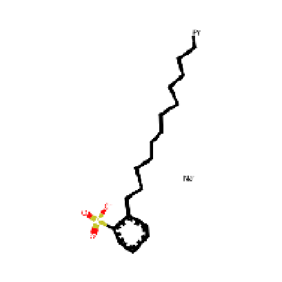 CC(C)CCCCCCCCCCCCc1ccccc1S(=O)(=O)[O-].[Na+]